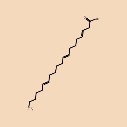 CCCCCC=CCCCCC=CCCCC=CCC(=O)O